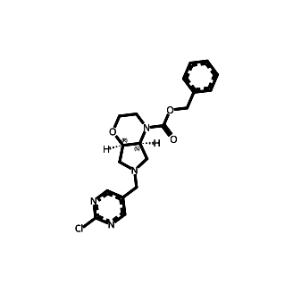 O=C(OCc1ccccc1)N1CCO[C@@H]2CN(Cc3cnc(Cl)nc3)C[C@@H]21